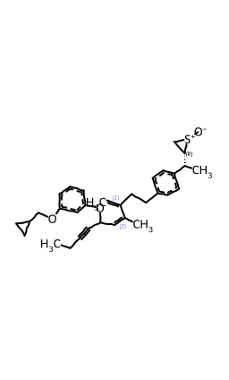 C/C=C(CCc1ccc(C(C)[C@@H]2C[S+]2[O-])cc1)\C(C)=C/C(C#CCC)Oc1cccc(OCC2CC2)c1